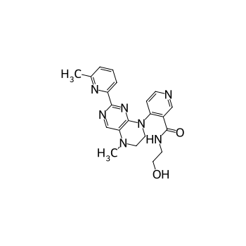 Cc1cccc(-c2ncc3c(n2)N(c2ccncc2C(=O)NCCO)CCN3C)n1